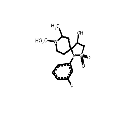 CC1CC2(CCN1C(=O)O)C(O)CS(=O)(=O)N2c1cccc(F)c1